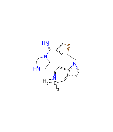 C/C=c1/ccn(Cc2cc(C(=N)N3CCNCC3)cs2)/c1=C/C=N/C